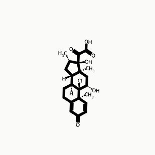 C[C@H]1C[C@H]2[C@@H]3CCC4=CC(=O)C=C[C@]4(C)[C@@]3(Cl)[C@@H](O)C[C@]2(C)[C@@]1(O)C(=O)C(=O)O